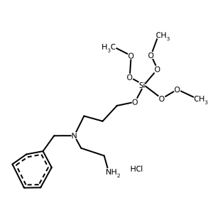 COO[Si](OCCCN(CCN)Cc1ccccc1)(OOC)OOC.Cl